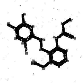 CCC(=O)Oc1cccc(CO)c1COc1cc(C)c(C)cc1F